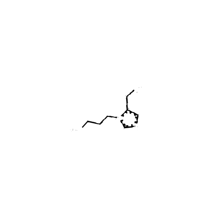 COCCCn1cncc1CO